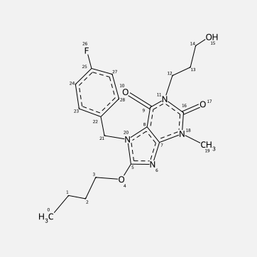 CCCCOc1nc2c(c(=O)n(CCCO)c(=O)n2C)n1Cc1ccc(F)cc1